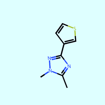 Cc1nc(-c2ccsc2)nn1C